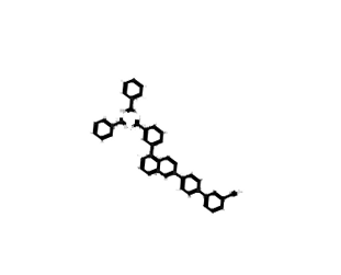 N#Cc1cccc(-c2ccc(-c3ccc4c(-c5cccc(-c6nc(-c7ccccc7)nc(-c7ccccc7)n6)c5)cccc4c3)cc2)c1